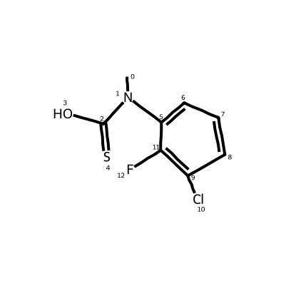 CN(C(O)=S)c1cccc(Cl)c1F